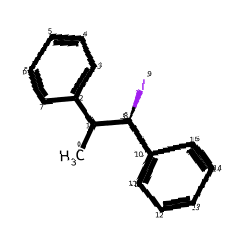 CC(c1ccccc1)[C@@H](I)c1ccccc1